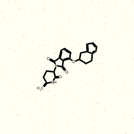 C=C1CCC(N2C(=O)c3cccc(OC4CCc5ccccc5C4)c3C2=O)C(=O)N1